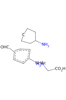 CC(=O)Nc1ccc(C=O)cc1.NC1CCCCC1.NCC(=O)O